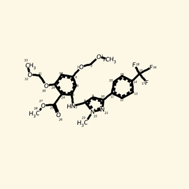 COCOc1cc(Nc2cc(-c3ccc(C(F)(F)F)cc3)nn2C)c(C(=O)OC)c(OCOC)c1